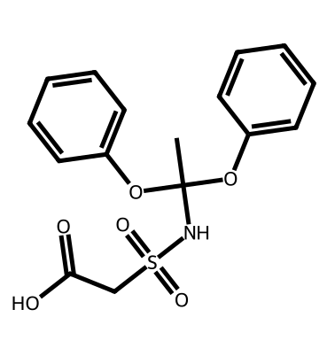 CC(NS(=O)(=O)CC(=O)O)(Oc1ccccc1)Oc1ccccc1